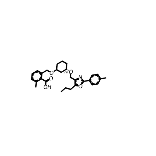 CCCc1oc(-c2ccc(C)cc2)nc1CO[C@H]1CCCC(OCc2cccc(C)c2C(=O)O)C1